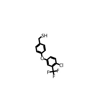 FC(F)(F)c1cc(Oc2ccc(CS)cc2)ccc1Cl